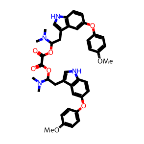 COc1ccc(Oc2ccc3[nH]cc(CC(OC(=O)C(=O)OC(Cc4c[nH]c5ccc(Oc6ccc(OC)cc6)cc45)N(C)C)N(C)C)c3c2)cc1